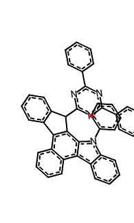 c1ccc(-c2nc(-c3ccccc3)nc(C3c4ccccc4-c4c3c3c(c5ccccc45)c4ccccc4n3-c3ccccc3)n2)cc1